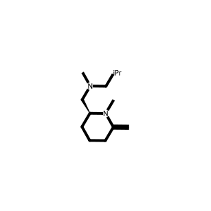 C=C1CCC[C@@H](CN(C)CC(C)C)N1C